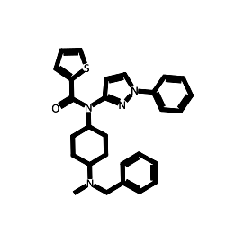 CN(Cc1ccccc1)C1CCC(N(C(=O)c2cccs2)c2ccn(-c3ccccc3)n2)CC1